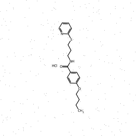 CCCCOc1ccc(C(=O)NCCCSc2ccccn2)cc1.Cl